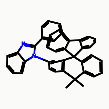 CC1(C)c2ccccc2C2(c3ccccc3-c3ccccc32)c2cc(-n3c(-c4ccccc4)nc4ccccc43)ccc21